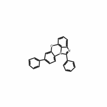 c1ccc(-c2ccc3c(c2)Oc2cccc4nc(-c5ccccc5)n-3c24)cc1